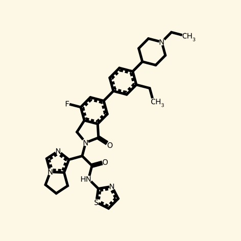 CCc1cc(-c2cc(F)c3c(c2)C(=O)N(C(C(=O)Nc2nccs2)c2ncn4c2CCC4)C3)ccc1C1CCN(CC)CC1